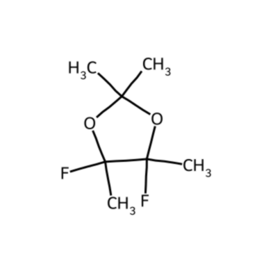 CC1(C)OC(C)(F)C(C)(F)O1